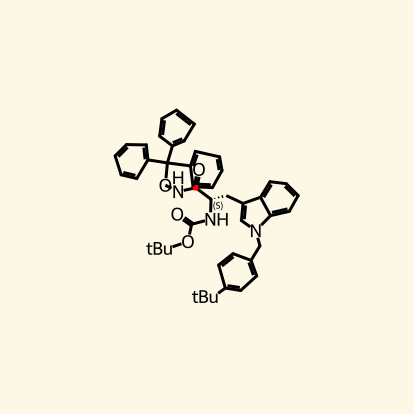 CC(C)(C)OC(=O)N[C@@H](Cc1cn(Cc2ccc(C(C)(C)C)cc2)c2ccccc12)C(=O)NOC(c1ccccc1)(c1ccccc1)c1ccccc1